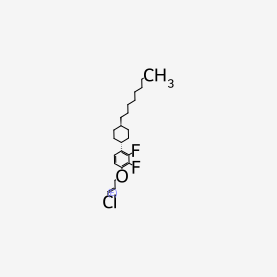 CCCCCCCC[C@H]1CC[C@H](c2ccc(OC/C=C/Cl)c(F)c2F)CC1